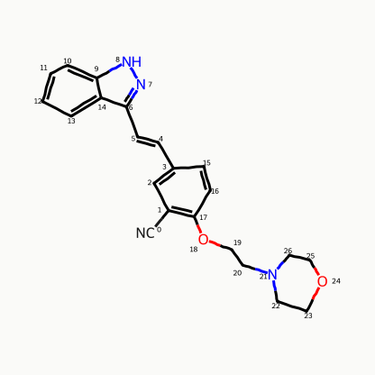 N#Cc1cc(C=Cc2n[nH]c3ccccc23)ccc1OCCN1CCOCC1